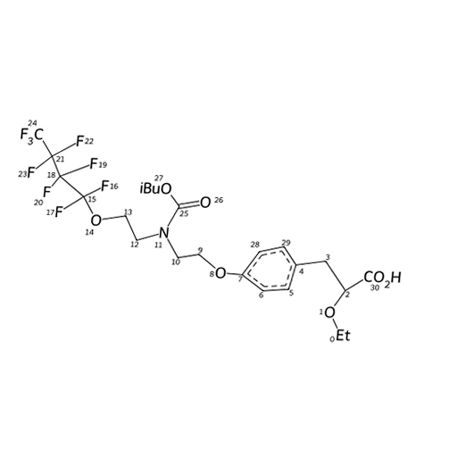 CCOC(Cc1ccc(OCCN(CCOC(F)(F)C(F)(F)C(F)(F)C(F)(F)F)C(=O)OCC(C)C)cc1)C(=O)O